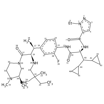 CCn1nccc1C(=O)N[C@H](C(=O)Nc1ccc([C@H](C)[C@@H](NCC(C)(C=O)CC(F)(F)F)C(=O)N2CCN(C)[C@H](C)C2)cc1F)C(C1CC1)C1CC1